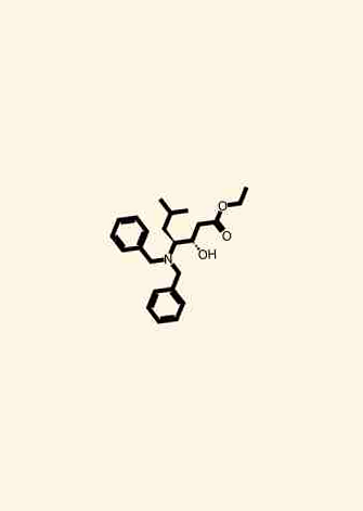 CCOC(=O)C[C@H](O)[C@H](CC(C)C)N(Cc1ccccc1)Cc1ccccc1